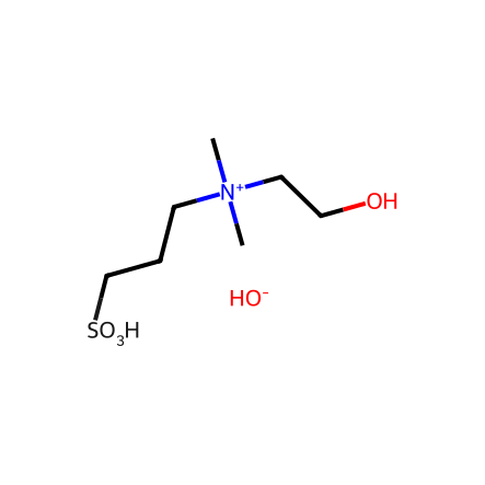 C[N+](C)(CCO)CCCS(=O)(=O)O.[OH-]